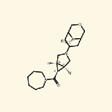 CCOC(=O)N1C2COCC1CC(N1C[C@@H]3[C@H](C1)[C@@H]3C(=O)N1CCCCCC1)C2